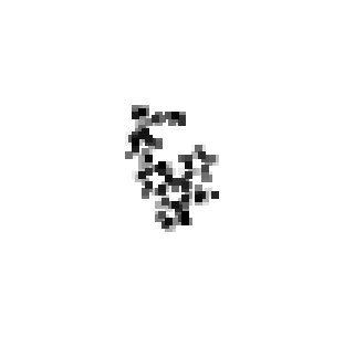 CCC[C@@H]1c2nncn2-c2cnc(-n3cnc(C(=O)NC)c3)nc2N1C1CCCC1